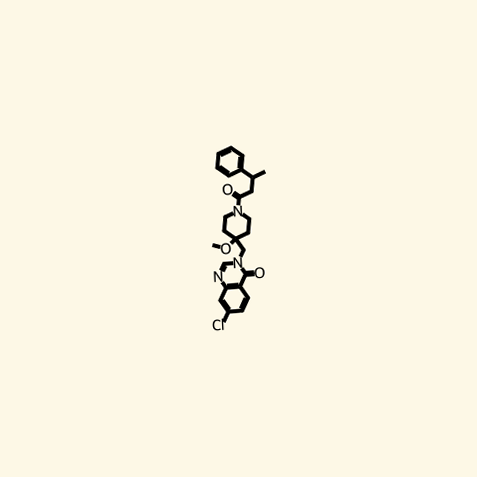 COC1(Cn2cnc3cc(Cl)ccc3c2=O)CCN(C(=O)CC(C)c2ccccc2)CC1